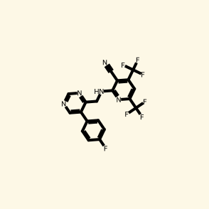 N#Cc1c(C(F)(F)F)cc(C(F)(F)F)nc1NCc1ncncc1-c1ccc(F)cc1